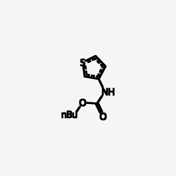 CCCCOC(=O)Nc1ccsc1